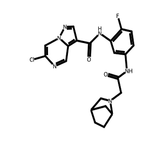 O=C(CN1CC2CCC1C2)Nc1ccc(F)c(NC(=O)c2cnn3cc(Cl)ncc23)c1